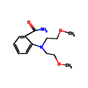 COCCN(CCOC)c1ccccc1C(N)=O